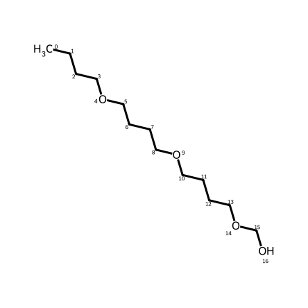 CCCCOCCCCOCCCCOCO